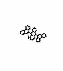 c1ccc2c(c1)cc(-c1c3ccccc3c(-c3cc4ccccc4c4ccccc34)c3ncccc13)c1ccccc12